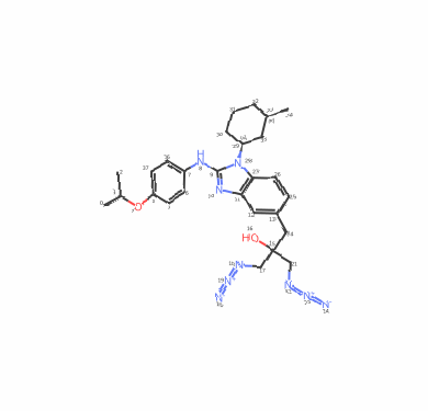 CC(C)Oc1ccc(Nc2nc3cc(CC(O)(CN=[N+]=[N-])CN=[N+]=[N-])ccc3n2[C@H]2CCC[C@@H](C)C2)cc1